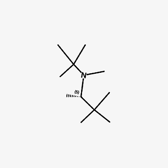 C[C@H](N(C)C(C)(C)C)C(C)(C)C